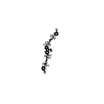 N#Cc1cccc(NC(=O)OCCCNC(=O)Nc2ccc3c(c2)C(C=O)c2cc(NC(=O)NCCCOC(=O)Nc4cccc(C#N)c4)ccc2-3)c1